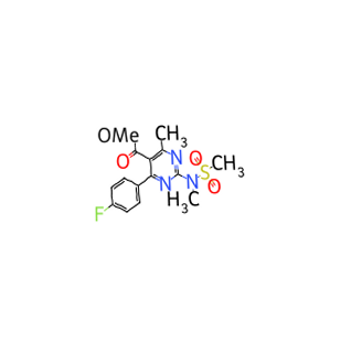 COC(=O)c1c(C)nc(N(C)S(C)(=O)=O)nc1-c1ccc(F)cc1